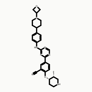 N#Cc1cc(-c2ncnc(Nc3ccc(C4CCN(C5COC5)CC4)cc3)n2)ccc1O[C@H]1CCNC[C@H]1F